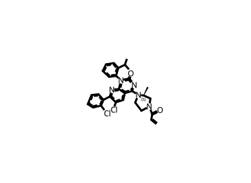 C=CC(=O)N1CCN(c2nc(=O)n(-c3ccccc3C(C)C)c3nc(-c4ccccc4Cl)c(Cl)cc23)[C@@H](C)C1